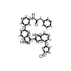 O=C(Cc1ccccc1)Nc1cncc(-c2ccc3[nH]nc(-c4nc5c(-c6ccc(Cl)s6)cncc5[nH]4)c3n2)c1